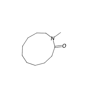 CN1CCCCCCCCCC1=O